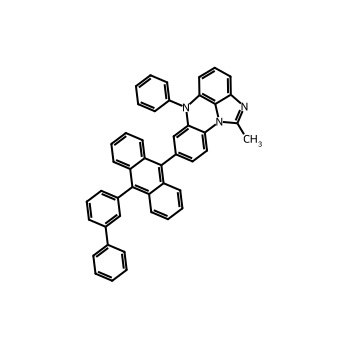 Cc1nc2cccc3c2n1-c1ccc(-c2c4ccccc4c(-c4cccc(-c5ccccc5)c4)c4ccccc24)cc1N3c1ccccc1